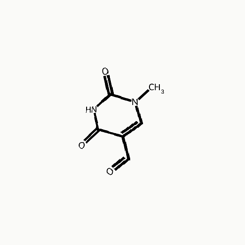 Cn1cc(C=O)c(=O)[nH]c1=O